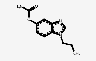 CCCn1cnc2cc(OC(N)=O)ccc21